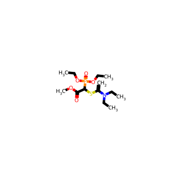 C=C(SC(C(=O)OC)P(=O)(OCC)OCC)N(CC)CC